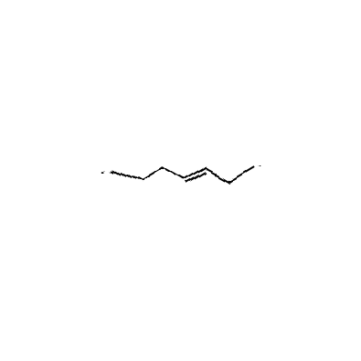 [CH2]CC=CCC[CH2]